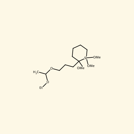 CCOC(C)OCCCC1(OC)CCCC[Si]1(OC)OC